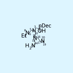 CCCCCCCCCCC(O)CN(CCN(C)CC)CCN(CCN)CCN(C)C